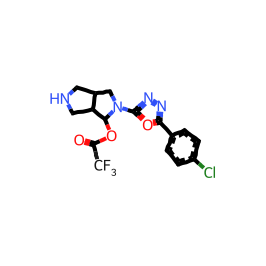 O=C(OC1C2CNCC2CN1c1nnc(-c2ccc(Cl)cc2)o1)C(F)(F)F